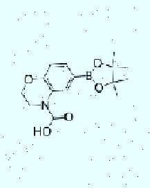 CC1(C)OB(c2ccc3c(c2)N(C(=O)O)CCO3)OC1(C)C